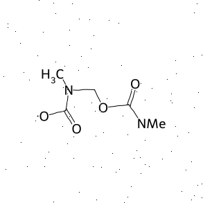 CNC(=O)OCN(C)C([O])=O